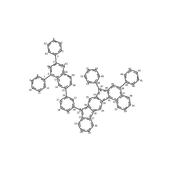 c1ccc(-c2nc(-c3ccccc3)c3cc(-c4cccc(-n5c6ccccc6c6cc7c8c9ccccc9c(-c9ccccc9)cc8n(-c8ccccc8)c7cc65)c4)ccc3n2)cc1